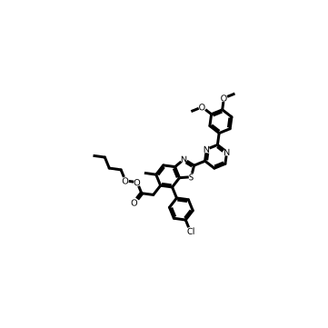 CCCCOOC(=O)Cc1c(C)cc2nc(-c3ccnc(-c4ccc(OC)c(OC)c4)n3)sc2c1-c1ccc(Cl)cc1